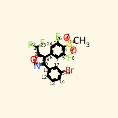 CS(=O)(=O)c1c(F)cc(-c2c(-c3cccc(Br)c3)noc2C(F)F)cc1F